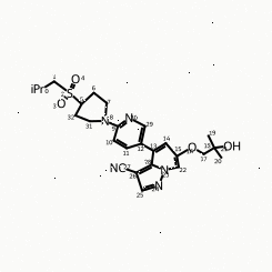 CC(C)CS(=O)(=O)C1CCN(c2ccc(-c3cc(OCC(C)(C)O)cn4ncc(C#N)c34)cn2)CC1